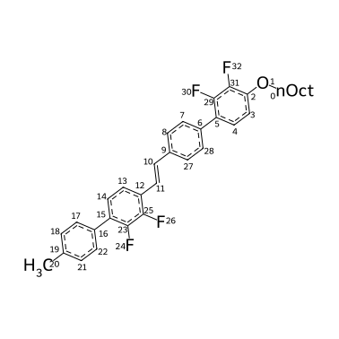 CCCCCCCCOc1ccc(-c2ccc(/C=C/c3ccc(-c4ccc(C)cc4)c(F)c3F)cc2)c(F)c1F